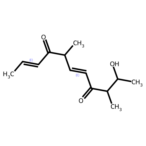 C/C=C/C(=O)C(C)/C=C/C(=O)C(C)C(C)O